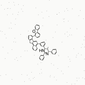 CC1C(c2ccccc2)N=C(c2ccccc2)NC1c1cccc(-c2cc3c(c4ccccc24)Cc2cccc(-c4cccc5c4oc4ccccc45)c2-3)c1